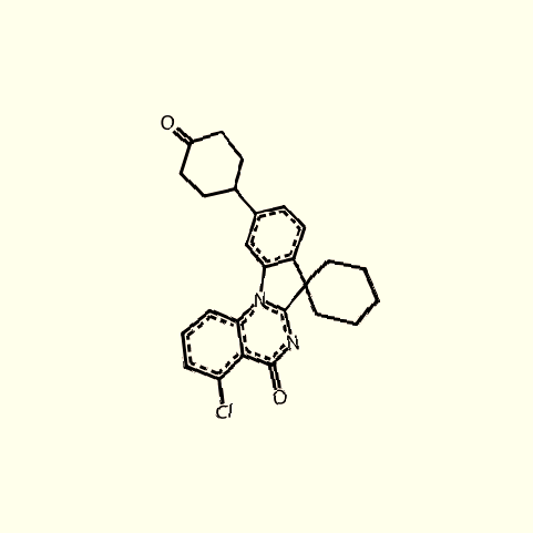 O=C1CCC(c2ccc3c(c2)-n2c(nc(=O)c4c(Cl)cccc42)C32CCCCC2)CC1